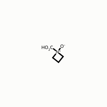 O=C(O)[N+]1([O-])CCC1